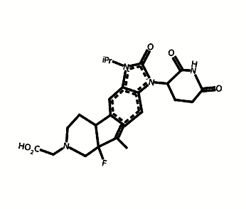 C=C(C)C1(F)CN(CC(=O)O)CCC1c1ccc2c(c1)n(C(C)C)c(=O)n2C1CCC(=O)NC1=O